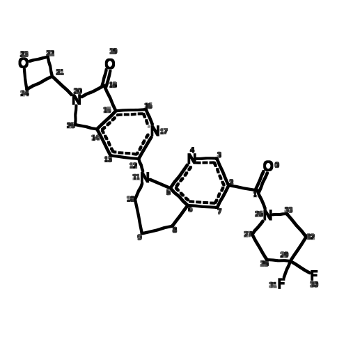 O=C(c1cnc2c(c1)CCCN2c1cc2c(cn1)C(=O)N(C1COC1)C2)N1CCC(F)(F)CC1